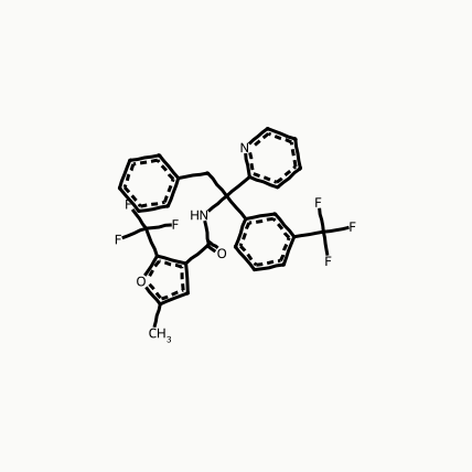 Cc1cc(C(=O)NC(Cc2ccccc2)(c2cccc(C(F)(F)F)c2)c2ccccn2)c(C(F)(F)F)o1